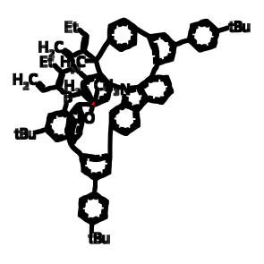 C=CC1=C(CC)N2C(=C)/C(=C\CC)C3(C)c4ccc(cc4)-c4cc(-c5ccc(C(C)(C)C)cc5)cc(c4)-c4cccc5c6cccc7c6n(c45)-c4c(c5c(c2c43)B1c1cc(C(C)(C)C)ccc1O5)C(C)(C)c1ccc(cc1)-c1cc(-c2ccc(C(C)(C)C)cc2)cc-7c1